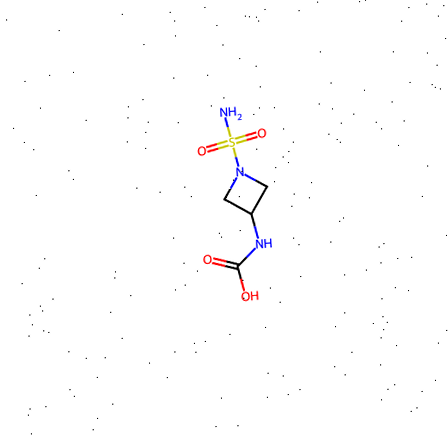 NS(=O)(=O)N1CC(NC(=O)O)C1